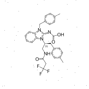 Cc1ccc(C[C@@H](CNC(=O)CC(F)(F)F)n2c(=NC(=O)O)n(Cc3ccc(C)cc3)c3ccccc32)cc1